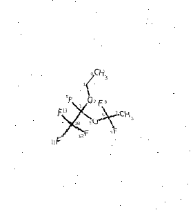 CCOC(F)(OC(C)(F)F)C(F)(F)F